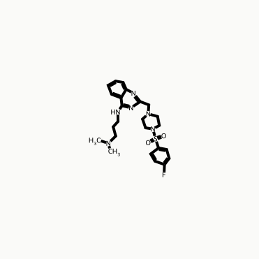 CN(C)CCCNc1nc(CN2CCN(S(=O)(=O)c3ccc(F)cc3)CC2)nc2ccccc12